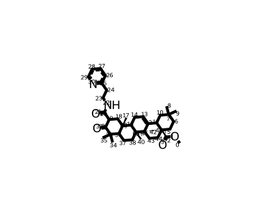 COC(=O)[C@]12CCC(C)(C)CC1C1=CCC3[C@@]4(C)CC(C(=O)NCCc5ccccn5)C(=O)C(C)(C)C4CC[C@@]3(C)[C@]1(C)CC2